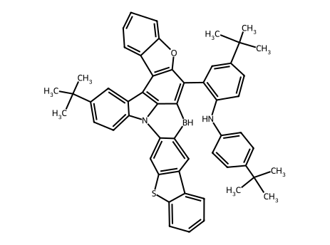 CC(C)(C)c1ccc(Nc2ccc(C(C)(C)C)cc2-c2c3c4c(c5cc(C(C)(C)C)ccc5n4-c4cc5sc6ccccc6c5cc4B3)c3c2oc2ccccc23)cc1